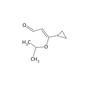 CC(C)OC(=CC=O)C1CC1